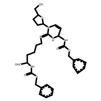 O=CC(CCCC/N=C1\NC(NC(=O)OCc2ccccc2)C=CN1C1CCC(CO)O1)NC(=O)OCc1ccccc1